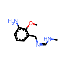 CN/C=N\Cc1cccc(N)c1OC